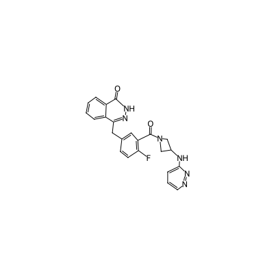 O=C(c1cc(Cc2n[nH]c(=O)c3ccccc23)ccc1F)N1CC(Nc2cccnn2)C1